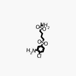 Nc1cc(S(=O)(=O)CCCCS(N)(=O)=O)ccc1Cl